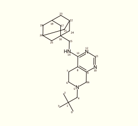 CC(C)(C)CN1CCc2c(ncnc2NCC23CC4CC(CC(C4)C2)C3)C1